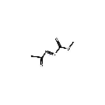 COC(=O)/N=N/C(C)=O